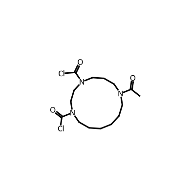 CC(=O)N1CCCCCCN(C(=O)Cl)CCN(C(=O)Cl)CCC1